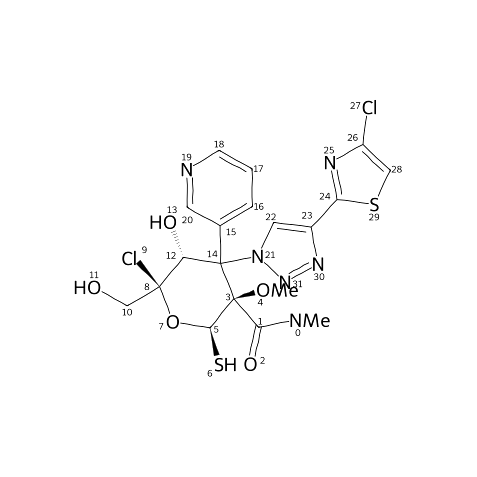 CNC(=O)[C@]1(OC)[C@@H](S)O[C@](Cl)(CO)[C@H](O)C1(c1cccnc1)n1cc(-c2nc(Cl)cs2)nn1